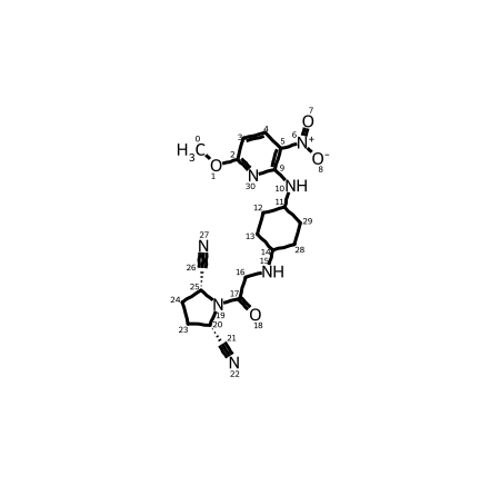 COc1ccc([N+](=O)[O-])c(NC2CCC(NCC(=O)N3[C@H](C#N)CC[C@@H]3C#N)CC2)n1